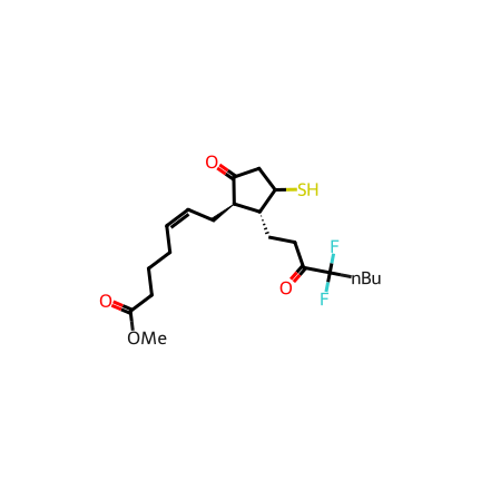 CCCCC(F)(F)C(=O)CC[C@H]1C(S)CC(=O)[C@@H]1C/C=C\CCCC(=O)OC